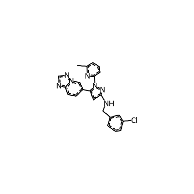 Cc1cccc(-n2nc(NCc3cccc(Cl)c3)cc2-c2ccc3ncnn3c2)n1